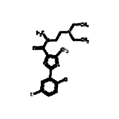 CCN(CC)CCN(C)C(=O)c1sc(-c2cc(Cl)ccc2Cl)nc1C